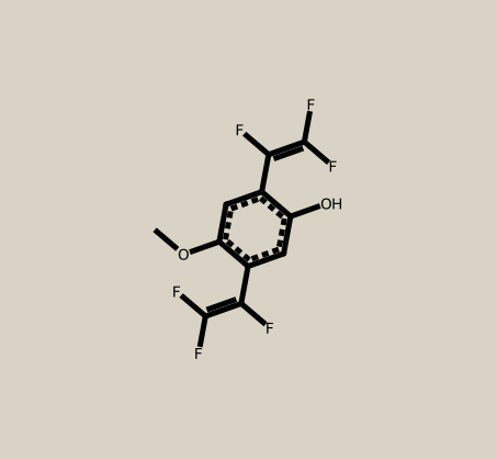 COc1cc(C(F)=C(F)F)c(O)cc1C(F)=C(F)F